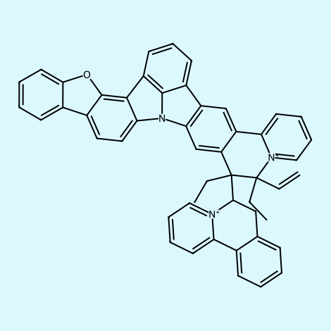 C=CC1(CC)[n+]2ccccc2-c2cc3c4cccc5c6c7oc8ccccc8c7ccc6n(c3cc2C1(CC)C1Cc2ccccc2-c2cccc[n+]21)c45